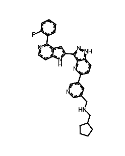 Fc1ccccc1-c1nccc2[nH]c(-c3n[nH]c4ccc(-c5cncc(CNCC6CCCC6)c5)nc34)cc12